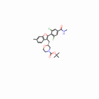 CNC(=O)c1cc(F)c(-c2oc3cc(C)ccc3c2C[C@H]2CN(C(=O)OC(C)(C)C)CCO2)c(F)c1